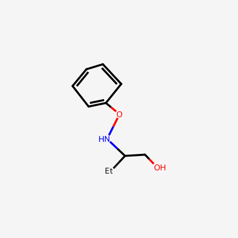 CCC(CO)NOc1ccccc1